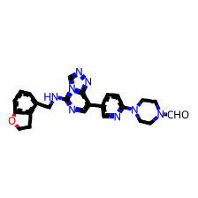 O=CN1CCN(c2ccc(-c3cnc(NCc4cccc5c4CCO5)n4cnnc34)cn2)CC1